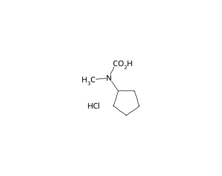 CN(C(=O)O)C1CCCC1.Cl